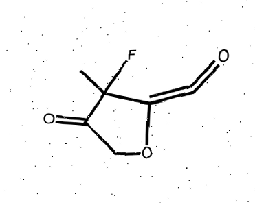 CC1(F)C(=O)COC1=C=O